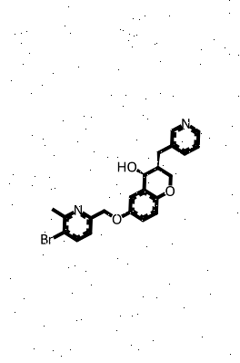 Cc1nc(COc2ccc3c(c2)[C@@H](O)[C@@H](Cc2cccnc2)CO3)ccc1Br